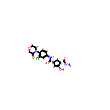 NC(=O)[C@H]1C[C@@H](C(=O)Nc2ccc(N3CCOCC3=O)c(F)c2)C[C@@H]1O